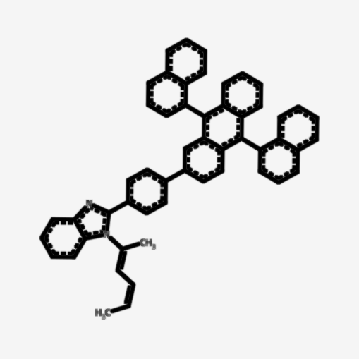 C/C=C\C=C(/C)n1c(-c2ccc(-c3ccc4c(-c5cccc6ccccc56)c5ccccc5c(-c5cccc6ccccc56)c4c3)cc2)nc2ccccc21